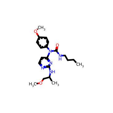 CCCCNC(=O)N(c1ccc(OC)cc1)c1ccnc(NC(C)COC)n1